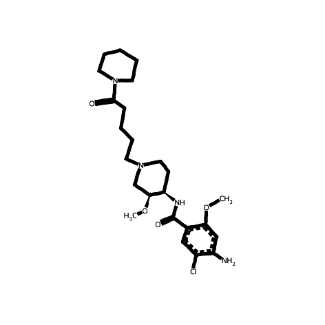 COc1cc(N)c(Cl)cc1C(=O)N[C@@H]1CCN(CCCCC(=O)N2CCCCC2)C[C@@H]1OC